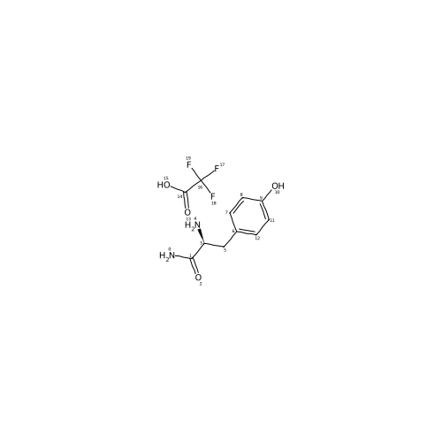 NC(=O)[C@@H](N)Cc1ccc(O)cc1.O=C(O)C(F)(F)F